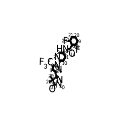 CN1N=C(c2cc(C(F)(F)F)n(-c3ccc(NC(=O)c4c(F)cccc4F)cn3)n2)C(C)(C)C1=O